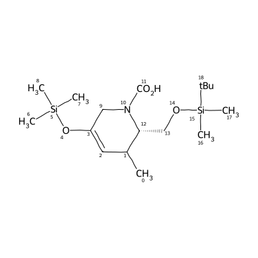 CC1C=C(O[Si](C)(C)C)CN(C(=O)O)[C@@H]1CO[Si](C)(C)C(C)(C)C